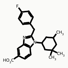 CC1CC(n2c(Cc3ccc(F)cc3)nc3cc(C(=O)O)ccc32)CC(C)(C)C1